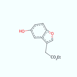 CCOC(=O)Cc1coc2ccc(O)cc12